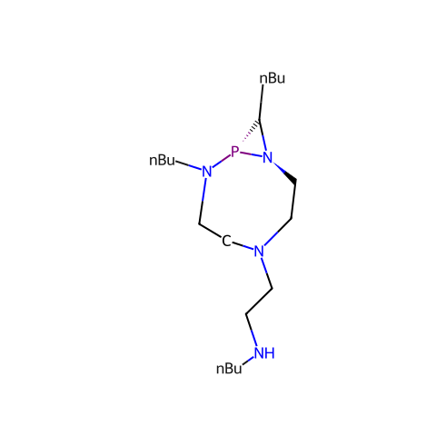 CCCCNCCN1CCN(CCCC)[P@]2C(CCCC)[N@@]2CC1